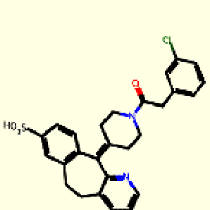 O=C(Cc1cccc(Cl)c1)N1CCC(=C2c3ccc(S(=O)(=O)O)cc3CCc3cccnc32)CC1